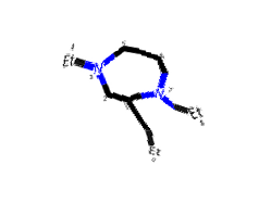 CCC1CN(CC)CCN1CC